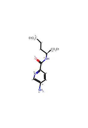 CCOC(=O)CC[C@H](NC(=O)c1ccc(N)cn1)C(=O)OCC